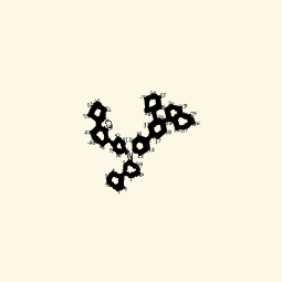 C1=CC(c2ccccc2)CC(N(c2ccc(-c3ccc(-c4cccc5ccccc45)c(-c4ccccc4)c3)cc2)c2ccc(-c3cccc4c3oc3ccccc34)cc2)=C1